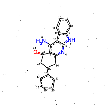 Nc1c2c(nc3[nH]c4ccccc4c13)CC(c1ccccc1)CC2=O